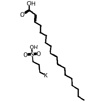 CCCCCCCCCCCCCCCC=CC(=O)O.O=S(=O)(O)CC[CH2][K]